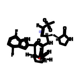 CS(=O)(=O)/C(F)=C\[C@H](C[C@H]1CCNC1=O)NC(=O)[C@@H]1[C@H]2CC[C@H](CC2(F)F)N1C(=O)c1cc2c(F)ccc(F)c2[nH]1